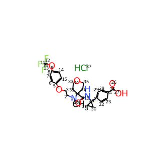 CN(CCOc1ccc(OC(F)(F)F)cc1)C1(C(=O)NC2(c3ccc(C(=O)O)cc3)CC2)CCOCC1.Cl